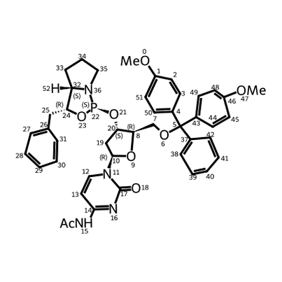 COc1ccc(C(OC[C@H]2O[C@@H](n3ccc(NC(C)=O)nc3=O)C[C@@H]2O[P@@]2O[C@H](Cc3ccccc3)[C@@H]3CCCN32)(c2ccccc2)c2ccc(OC)cc2)cc1